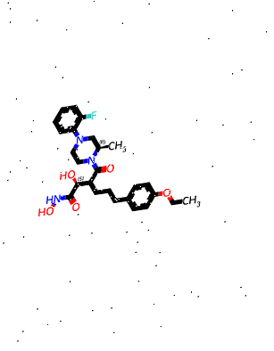 CCOc1ccc(CCCC(C(=O)N2CCN(c3ccccc3F)C[C@H]2C)[C@H](O)C(=O)NO)cc1